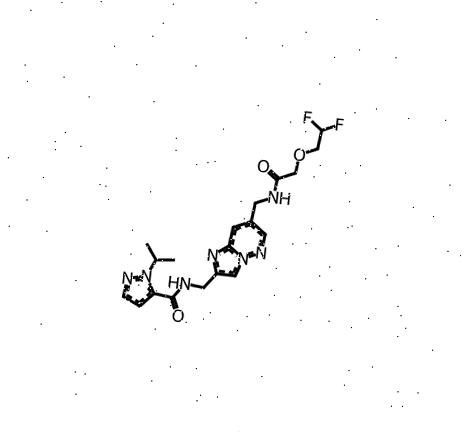 CC(C)n1nccc1C(=O)NCc1cn2ncc(CNC(=O)COCC(F)F)cc2n1